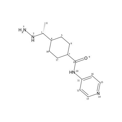 C[C@@H](NN)C1CCC(C(=O)Nc2ccncc2)CC1